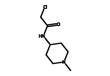 CN1CCC(NC(=O)CCl)CC1